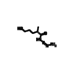 CC(CCCO)C(=O)N/B=N/P